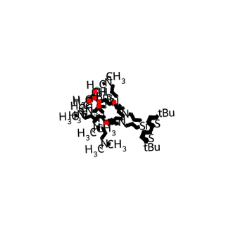 CCCCN(CCCN(C)C)CCCN(CCCN(CCCN(C)C)CCCN(C)C)CCC[Si]1(CCCN(CCCN(CCCN(C)C)CCCN(C)C)CCCN(CCCN(C)C)CCCN(C)C)c2cc(C(C)(C)C)sc2-c2sc(C(C)(C)C)cc21